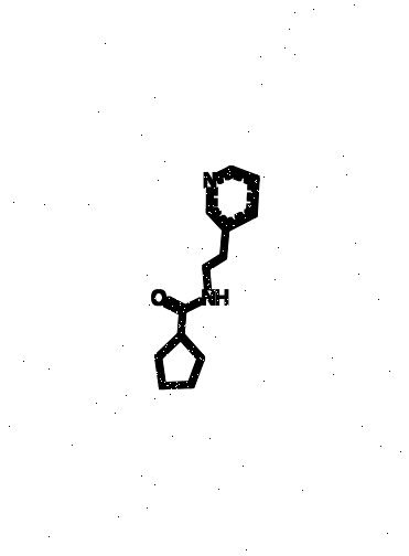 O=C(NCCc1cccnc1)C1CCCC1